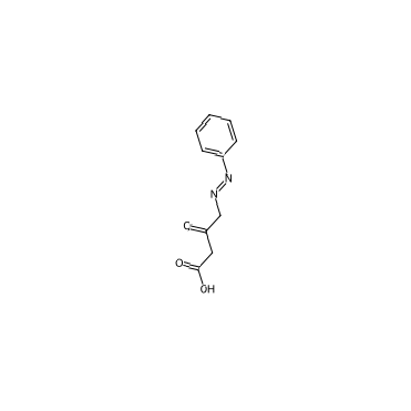 O=C(O)CC(=O)CN=Nc1ccccc1